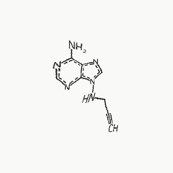 C#CCNn1cnc2c(N)ncnc21